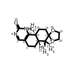 CC1(C)[C@@H]2CCc3cnc(=O)[nH]c3[C@@]2(C)CCC12OCCO2